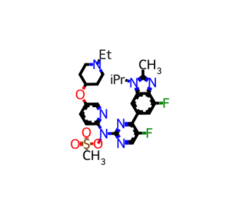 CCN1CCC(Oc2ccc(N(OS(C)(=O)=O)c3ncc(F)c(-c4cc(F)c5nc(C)n(C(C)C)c5c4)n3)nc2)CC1